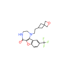 O=C1NCCN(CCC2CC3(COC3)C2)c2c1oc1ccc(C(F)(F)F)cc21